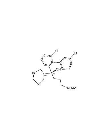 CCc1cccc(-c2c(Cl)cccc2[C@](O)(CCCNC(C)=O)[C@@H]2CCCNC2)c1